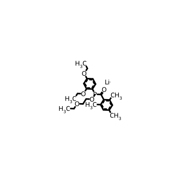 CCOCCOP(C(=O)c1c(C)cc(C)cc1C)c1ccc(OCC)cc1OCC.[Li]